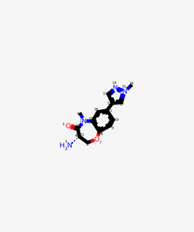 CN1C(=O)[C@@H](N)COc2ccc(-c3cnn(C)c3)cc21